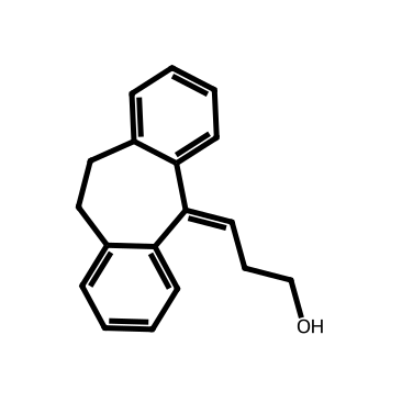 OCCC=C1c2ccccc2CCc2ccccc21